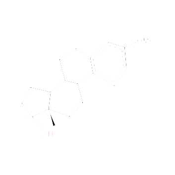 COc1ccc2c(c1)CCC1C2CC[C@@]2(C)C1CC[C@]2(C)O